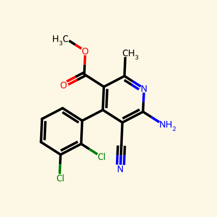 COC(=O)c1c(C)nc(N)c(C#N)c1-c1cccc(Cl)c1Cl